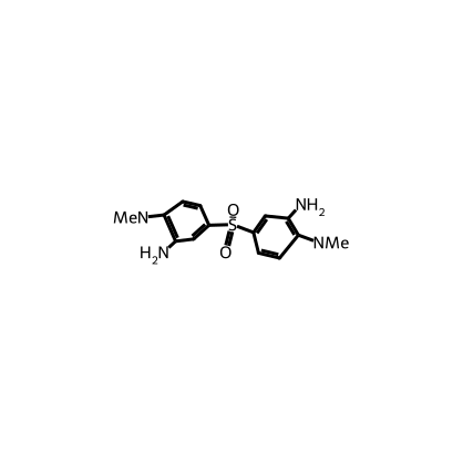 CNc1ccc(S(=O)(=O)c2ccc(NC)c(N)c2)cc1N